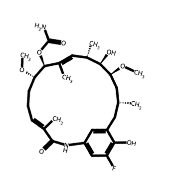 CO[C@H]1C[C@H](C)Cc2cc(cc(F)c2O)NC(=O)/C(C)=C/CC[C@H](OC)[C@@H](OC(N)=O)/C(C)=C/[C@H](C)[C@H]1O